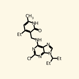 CCc1cc(C)[nH]c(=O)c1CNc1nc(Cl)nc2c1ncn2C(CC)CC